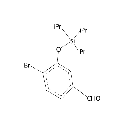 CC(C)[Si](Oc1cc(C=O)ccc1Br)(C(C)C)C(C)C